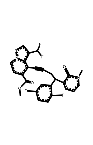 COC(=O)c1ccn2ncc(C(F)F)c2c1C#CCC(c1cc(F)ccc1F)c1cccn(C)c1=O